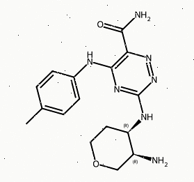 Cc1ccc(Nc2nc(N[C@@H]3CCOC[C@@H]3N)nnc2C(N)=O)cc1